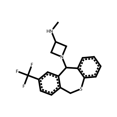 CNC1CN(C2c3cc(C(F)(F)F)ccc3CSc3ccccc32)C1